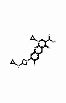 O=C(O)c1cn(C2CC2)c2nc3cc(N4CC(NC5CC5)C4)c(F)cc3cc2c1=O